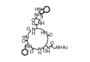 CC(=O)NCC(=O)NC1CCC(=O)NCCC(C(=O)N[C@@H](Cc2c[nH]c3ccccc23)C(N)=O)NC(=O)CNC(=O)C(Cc2ccccc2)NC(=O)CNC1=O